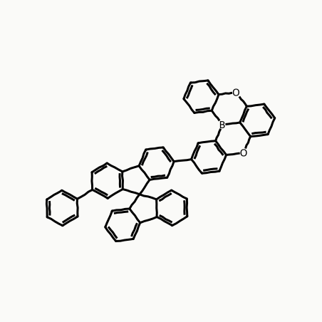 c1ccc(-c2ccc3c(c2)C2(c4ccccc4-c4ccccc42)c2cc(-c4ccc5c(c4)B4c6ccccc6Oc6cccc(c64)O5)ccc2-3)cc1